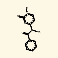 CC(C)n1ccc(N(N)C(=O)c2ccccc2)nc1=O